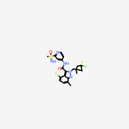 Cc1ccc(F)c2c(C(=O)Nc3ccnc(S(C)(=N)=O)c3)n(CC3(C)CC(F)(F)C3)nc12